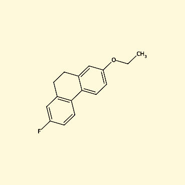 CCOc1ccc2c(c1)CCc1cc(F)ccc1-2